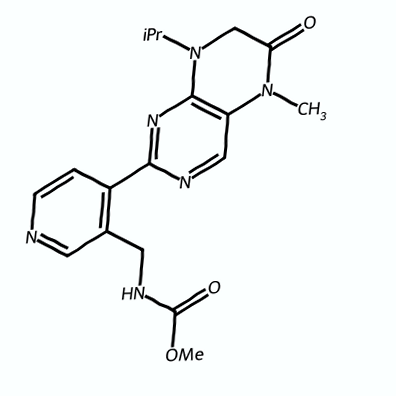 COC(=O)NCc1cnccc1-c1ncc2c(n1)N(C(C)C)CC(=O)N2C